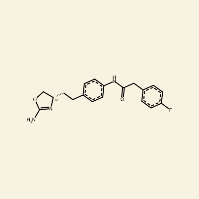 NC1=N[C@@H](CCc2ccc(NC(=O)Cc3ccc(F)cc3)cc2)CO1